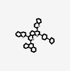 c1ccc(-c2ccc(-c3cc(-c4ccc5ccccc5n4)c4ccc5c(-c6ccc7ccccc7n6)cc(-c6cc7ccccc7c7ccccc67)nc5c4n3)cc2)cc1